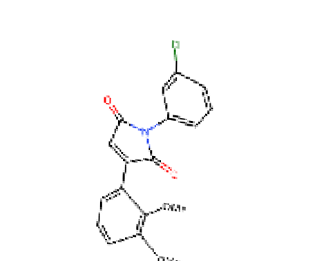 COc1cccc(C2=CC(=O)N(c3cccc(Cl)c3)C2=O)c1OC